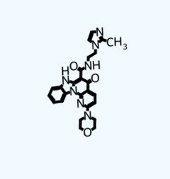 Cc1nccn1CCNC(=O)c1c(=O)c2ccc(N3CCOCC3)nc2n2c1[nH]c1ccccc12